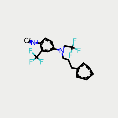 [C-]#[N+]c1ccc(N(CCCc2ccccc2)CC(F)(F)F)cc1C(F)(F)F